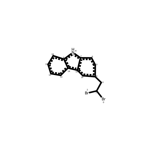 BrC(Br)Cc1ccc2[nH]c3ccccc3c2c1